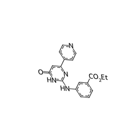 CCOC(=O)c1cccc(Nc2nc(-c3ccncc3)cc(=O)[nH]2)c1